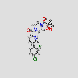 O=C(c1ccc(-c2ccc(Cl)cc2F)cn1)N1CCN(C(=O)C2(O)CC2)CC1